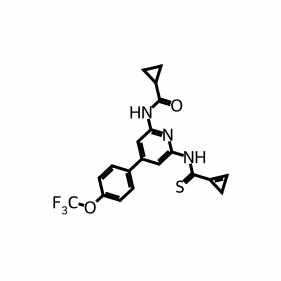 O=C(Nc1cc(-c2ccc(OC(F)(F)F)cc2)cc(NC(=S)C2=CC2)n1)C1CC1